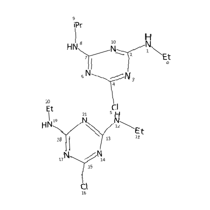 CCNc1nc(Cl)nc(NC(C)C)n1.CCNc1nc(Cl)nc(NCC)n1